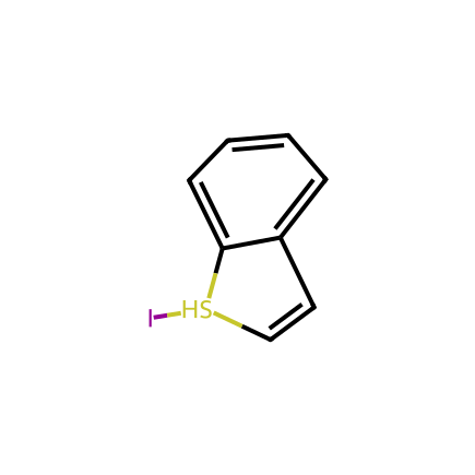 I[SH]1C=Cc2ccccc21